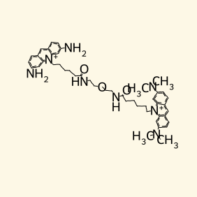 CN(C)c1ccc2cc3ccc(N(C)C)cc3[n+](CCCCCC(=O)NCCOCCNC(=O)CCCCC[n+]3c4cc(N)ccc4cc4ccc(N)cc43)c2c1